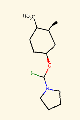 C[C@H]1C[C@@H](OC(F)N2CCCC2)CCC1C(=O)O